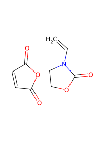 C=CN1CCOC1=O.O=C1C=CC(=O)O1